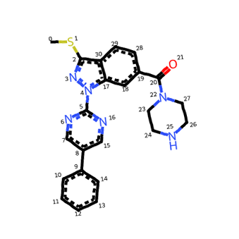 CSc1nn(-c2ncc(-c3ccccc3)cn2)c2cc(C(=O)N3CCNCC3)ccc12